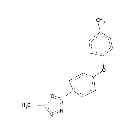 Cc1ccc(Oc2ccc(-c3nnc(C)o3)cc2)cc1